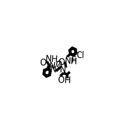 CC(C)C(CO)N(CC(=O)NCc1cccc(Cl)c1F)C(=O)Cn1nc(C(N)=O)c2ccccc21